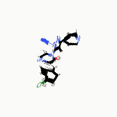 Cc1c(-c2ccncc2)n[nH]c1N1CCN[C@@H](Cc2ccc(Cl)cc2)C1=O